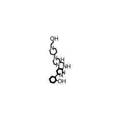 OCCN1CCC(N2CCN3c4cc(-c5ccccc5O)nnc4NC[C@H]3C2)CC1